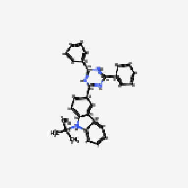 CC(C)(C)n1c2ccccc2c2cc(-c3nc(-c4ccccc4)nc(-c4ccccc4)n3)ccc21